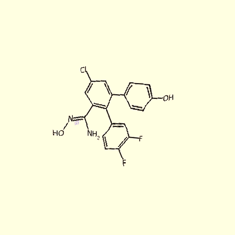 N/C(=N\O)c1cc(Cl)cc(-c2ccc(O)cc2)c1-c1ccc(F)c(F)c1